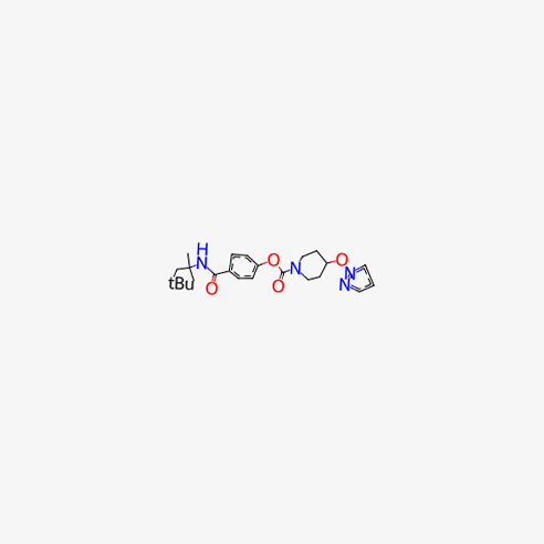 CC(C)(C)CC(C)(C)NC(=O)c1ccc(OC(=O)N2CCC(On3cccn3)CC2)cc1